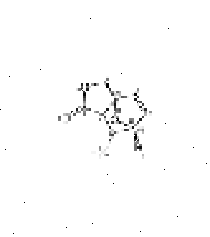 CC1C2C(=O)OC[C@]23C=C[C@H]1O3